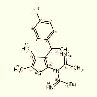 C=C(c1ccc(Cl)cc1)c1c(N(C(C)=N)C(=N)C(C)CC)sc(C)c1C